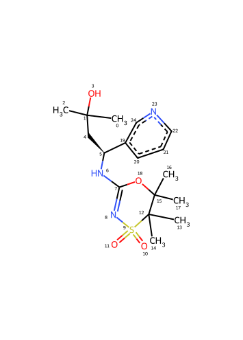 CC(C)(O)C[C@H](NC1=NS(=O)(=O)C(C)(C)C(C)(C)O1)c1cccnc1